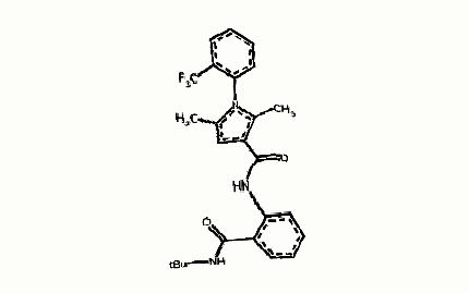 Cc1cc(C(=O)Nc2ccccc2C(=O)NC(C)(C)C)c(C)n1-c1ccccc1C(F)(F)F